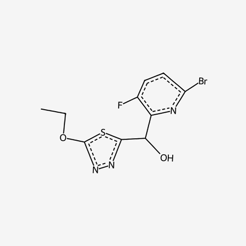 CCOc1nnc(C(O)c2nc(Br)ccc2F)s1